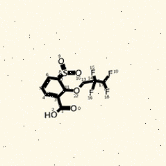 O=C(O)C1=CC=CC(=S(=O)=O)C1OCC(F)(F)C(F)F